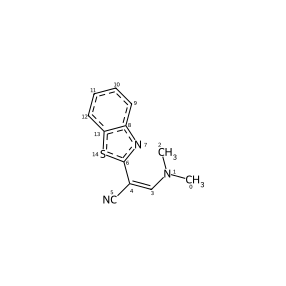 CN(C)/C=C(/C#N)c1nc2ccccc2s1